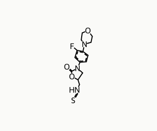 O=C1OC(CNC=S)CN1c1ccc(N2CCOCC2)c(F)c1